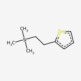 C[Si](C)(C)CCc1cccs1